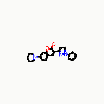 O=c1oc2cc(N3CCCCC3)ccc2cc1-c1ccn(-c2ccccc2)n1